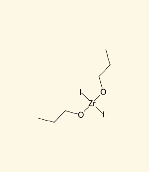 CCC[O][Zr]([I])([I])[O]CCC